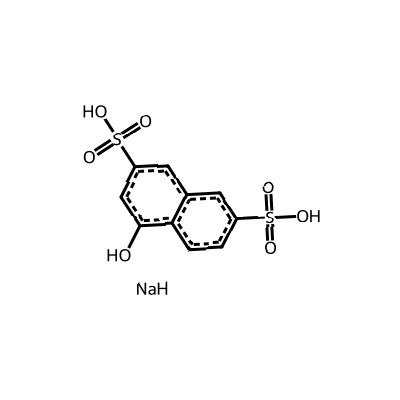 O=S(=O)(O)c1ccc2c(O)cc(S(=O)(=O)O)cc2c1.[NaH]